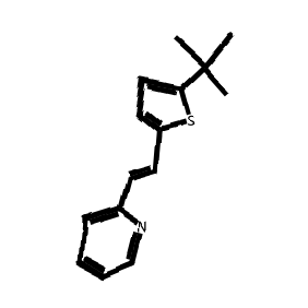 CC(C)(C)c1ccc(/C=C/c2ccccn2)s1